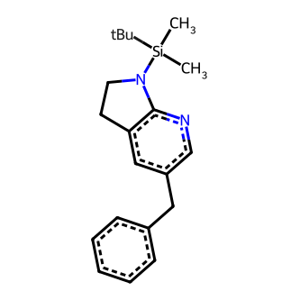 CC(C)(C)[Si](C)(C)N1CCc2cc(Cc3ccccc3)cnc21